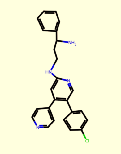 NC(CCNc1cc(-c2ccncc2)c(-c2ccc(Cl)cc2)cn1)c1ccccc1